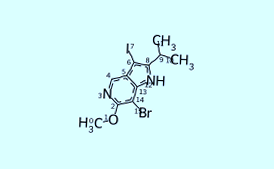 COc1ncc2c(I)c(C(C)C)[nH]c2c1Br